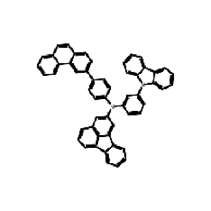 c1cc(N(c2ccc(-c3ccc4ccc5ccccc5c4c3)cc2)c2cc3c4c(cccc4c2)-c2ccccc2-3)cc(-n2c3ccccc3c3ccccc32)c1